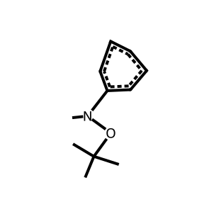 CN(OC(C)(C)C)c1ccccc1